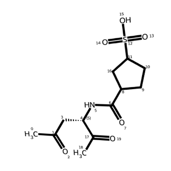 CC(=O)C[C@H](NC(=O)C1CCC(S(=O)(=O)O)C1)C(C)=O